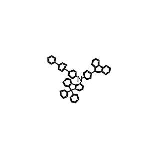 c1ccc(-c2ccc(-c3ccc(N(c4ccc(-c5cc6ccccc6c6ccccc56)cc4)c4cccc5c4-c4ccccc4C5(c4ccccc4)c4ccccc4)cc3)cc2)cc1